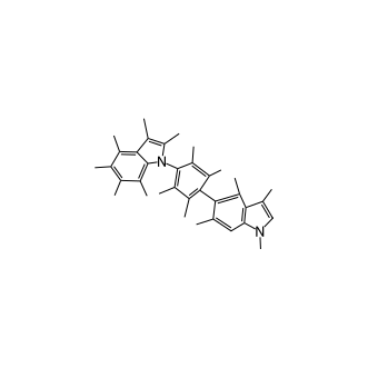 Cc1cc2c(c(C)cn2C)c(C)c1-c1c(C)c(C)c(-n2c(C)c(C)c3c(C)c(C)c(C)c(C)c32)c(C)c1C